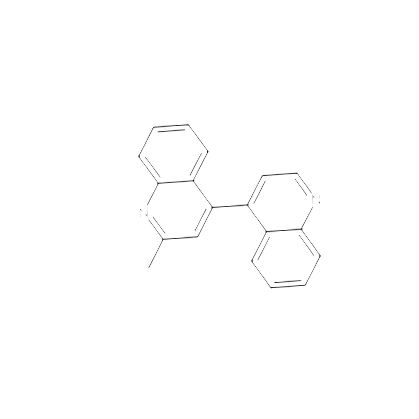 Cc1cc(-c2ccnc3ccccc23)c2ccccc2n1